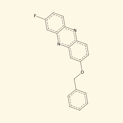 Fc1ccc2nc3ccc(OCc4ccccc4)cc3nc2c1